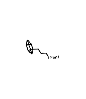 CCCCCCCCC12C3C4C3C1C42